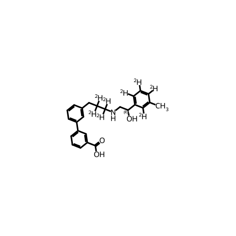 [2H]c1c([2H])c(C)c([2H])c([C@@H](O)CNC([2H])([2H])C([2H])([2H])Cc2cccc(-c3cccc(C(=O)O)c3)c2)c1[2H]